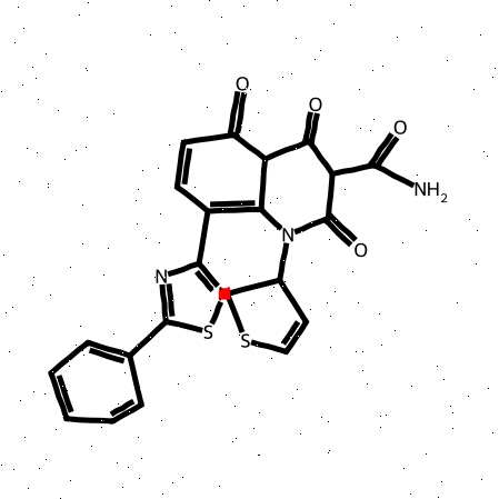 NC(=O)C1C(=O)C2C(=O)C=CC(c3nsc(-c4ccccc4)n3)=C2N(C2C=CSC2)C1=O